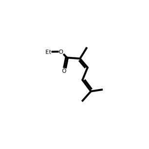 CCOC(=O)/C(C)=C\C=C(C)C